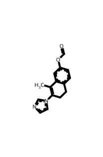 CC1=C(n2ccnc2)CCc2ccc(OC=O)cc21